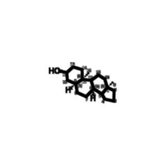 C[C@]12CCCC1[C@H]1CC[C@H]3CC(O)CC[C@@]3(C)C1CC2